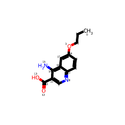 CCCOc1ccc2ncc(C(=O)O)c(N)c2c1